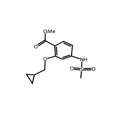 COC(=O)c1ccc(NS(C)(=O)=O)cc1OCC1CC1